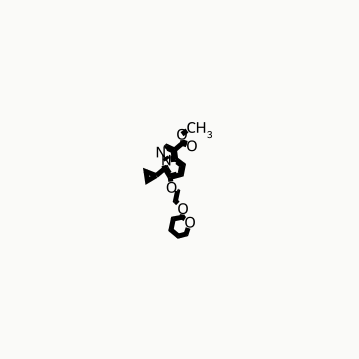 COC(=O)c1cnn2c(C3CC3)c(OCCOC3CCCCO3)ccc12